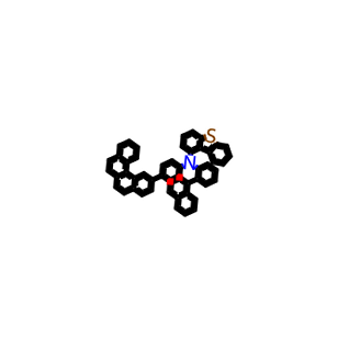 c1ccc(N(c2ccc(-c3ccc4ccc5ccc6ccccc6c5c4c3)cc2)c2cccc3sc4ccccc4c23)c(-c2cccc3ccccc23)c1